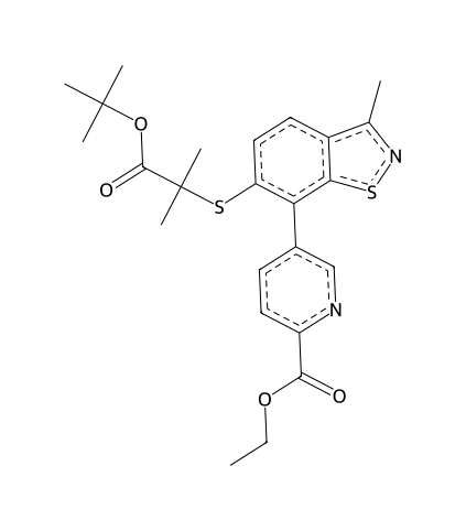 CCOC(=O)c1ccc(-c2c(SC(C)(C)C(=O)OC(C)(C)C)ccc3c(C)nsc23)cn1